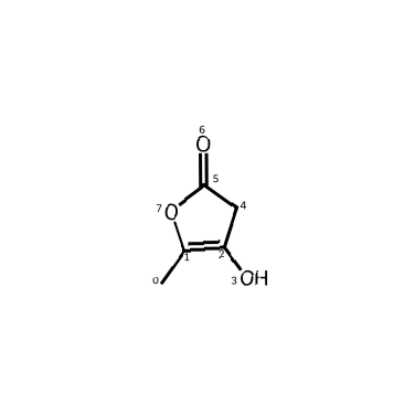 CC1=C(O)CC(=O)O1